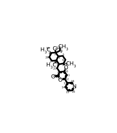 CCC1(C)C2CC[C@@]3(C)Oc4cc(-c5cccnc5)oc(=O)c4CC3[C@@]2(C)CC[C@@H]1C